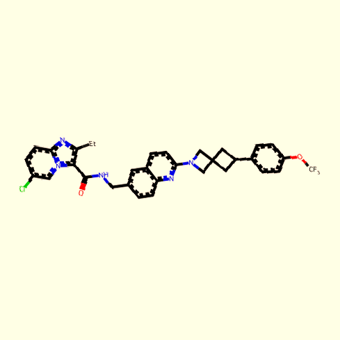 CCc1nc2ccc(Cl)cn2c1C(=O)NCc1ccc2nc(N3CC4(CC(c5ccc(OC(F)(F)F)cc5)C4)C3)ccc2c1